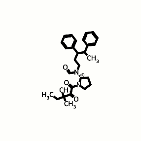 CCC(C)(C)C(=O)C(=O)N1CCC[C@H]1N(C=O)CCC(c1ccccc1)C(C)c1ccccc1